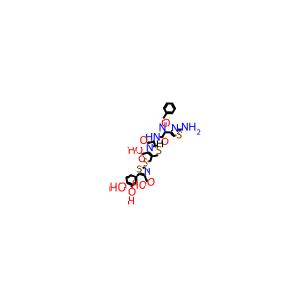 Nc1nc(C(=NOCc2ccccc2)C(=O)N[C@@H]2C(=O)N3C(C(=O)O)=C(CSc4nc(C(=O)O)c(-c5ccc(O)c(O)c5)s4)CS[C@@H]23)cs1